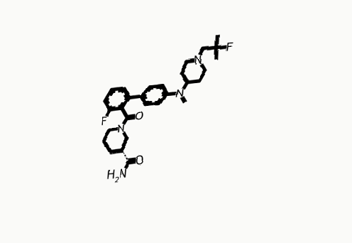 CN(c1ccc(-c2cccc(F)c2C(=O)N2CCC[C@@H](C(N)=O)C2)cc1)C1CCN(CC(C)(C)F)CC1